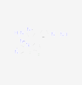 Nc1ncc(-c2ccc(N3CCNCC3)cc2)cc1-c1nc2cnccc2n1-c1cccc(F)c1F